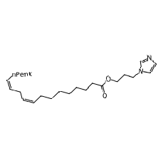 CCCCC/C=C\C/C=C\CCCCCCCC(=O)OCCCn1ccnc1